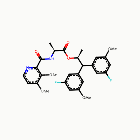 COc1cc(F)cc(C(c2cc(F)cc(OC)c2)[C@H](C)OC(=O)[C@H](C)NC(=O)c2nccc(OC)c2OC(C)=O)c1